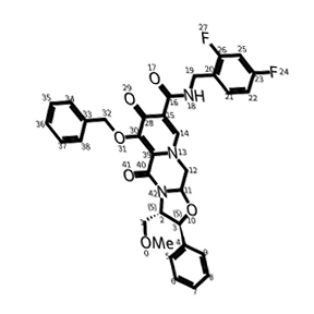 COC[C@H]1[C@H](c2ccccc2)OC2Cn3cc(C(=O)NCc4ccc(F)cc4F)c(=O)c(OCc4ccccc4)c3C(=O)N21